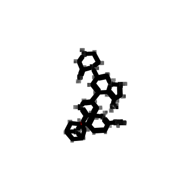 COc1ccc(CN2C3CC2CN(c2ccc(-c4cc(N5CCOCC5=O)cn5ncc(C#N)c45)cn2)C3)cn1